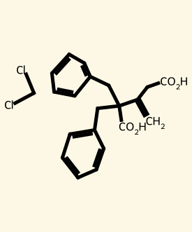 C=C(CC(=O)O)C(Cc1ccccc1)(Cc1ccccc1)C(=O)O.ClCCl